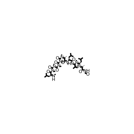 CN[C@@H](CC(C)C)C(=O)N(C)C(=O)N(C)C(=O)N(C)C(=O)NC(=O)N(C)[C@H](C)C(=O)N(C)[C@@H](CC(C)C)C(=O)NC(C(C)C)N(C)[C@@H](CC(C)C)N[C@H](C)C(=O)NC=O